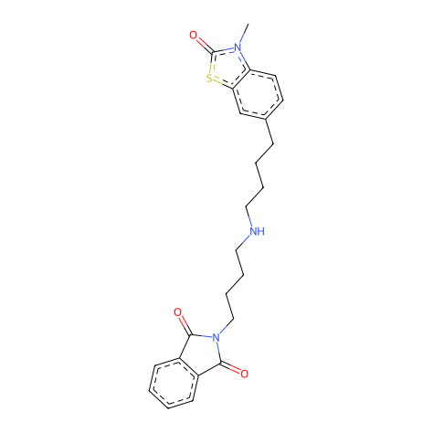 Cn1c(=O)sc2cc(CCCCNCCCCN3C(=O)c4ccccc4C3=O)ccc21